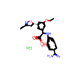 CCOc1cc(C(Nc2ccc(C(=N)N)cc2)C(=O)O)cc([C@@H]2CC(C)=NO2)c1.Cl